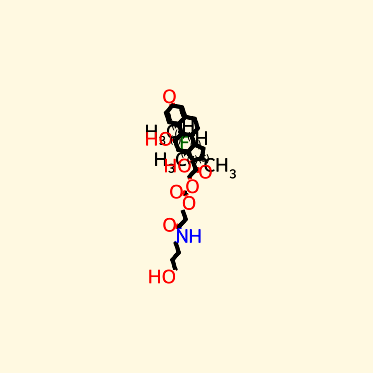 C[C@H]1C[C@@H]2[C@H]3CCC4=CC(=O)C=C[C@@]4(C)[C@]3(F)[C@H](O)C[C@@]2(C)[C@]1(O)C(=O)COC(=O)OCCC(=O)NCCCCO